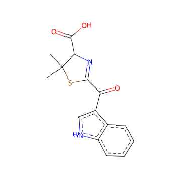 CC1(C)SC(C(=O)c2c[nH]c3ccccc23)=NC1C(=O)O